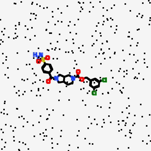 NS(=O)(=O)c1ccc(C(=O)N2CC3CCN(C(=O)OCc4cc(Cl)cc(Cl)c4)CC3C2)cc1